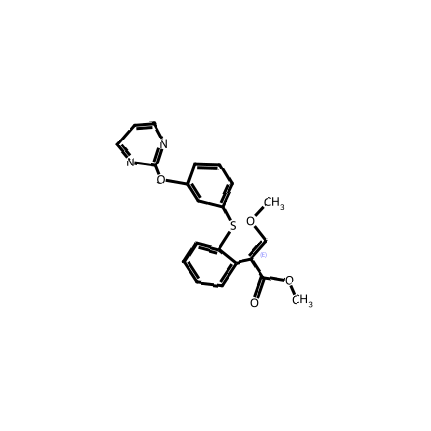 CO/C=C(/C(=O)OC)c1ccccc1Sc1cccc(Oc2ncccn2)c1